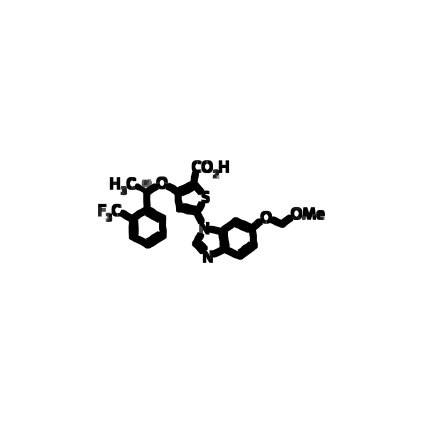 COCOc1ccc2ncn(-c3cc(O[C@H](C)c4ccccc4C(F)(F)F)c(C(=O)O)s3)c2c1